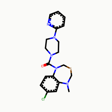 CN1CSCN(C(=O)N2CCN(c3ccccn3)CC2)c2ccc(Cl)cc21